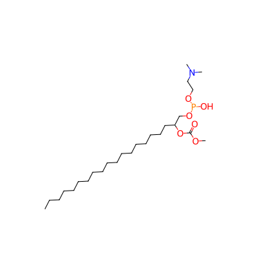 CCCCCCCCCCCCCCCCCCC(COP(O)OCCN(C)C)OC(=O)OC